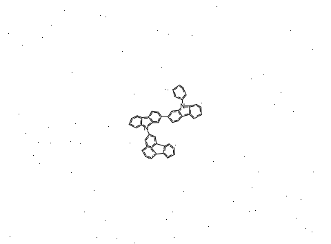 c1ccc(-n2c3ccccc3c3ccc(-c4ccc5c6ccccc6n(-c6cc7c8c(cccc8c6)-c6ccccc6-7)c5c4)cc32)cc1